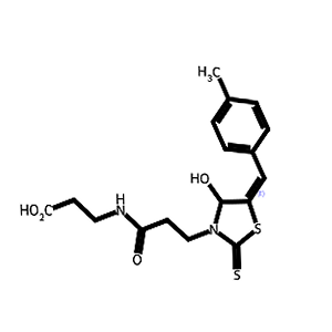 Cc1ccc(/C=C2/SC(=S)N(CCC(=O)NCCC(=O)O)C2O)cc1